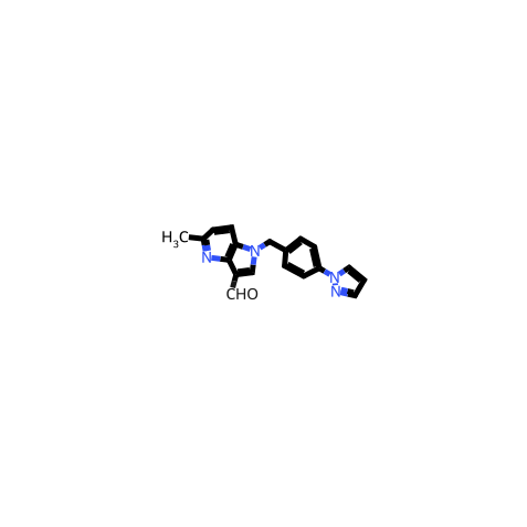 Cc1ccc2c(n1)c(C=O)cn2Cc1ccc(-n2cccn2)cc1